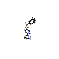 S=C(SCc1ccc(-c2ccccn2)nc1)c1ccccc1